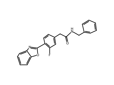 O=C(Cc1ccc(-c2nc3ccccc3o2)c(F)c1)NCc1ccccc1